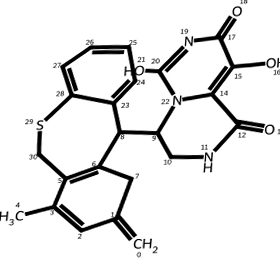 C=C1C=C(C)C2=C(C1)C(C1CNC(=O)c3c(O)c(=O)nc(O)n31)c1ccccc1SC2